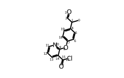 CC(C=O)c1ccc(Oc2ncccc2C(=O)Cl)cc1